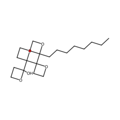 CCCCCCCCC1(C2(C3(C4(O)CCO4)CCO3)CCO2)CCO1